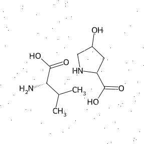 CC(C)[C@H](N)C(=O)O.O=C(O)C1CC(O)CN1